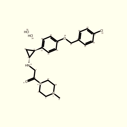 CN1CCN(C(=O)CN[C@@H]2C[C@H]2c2ccc(OCc3ccc(Cl)cc3)cc2)CC1.Cl.Cl